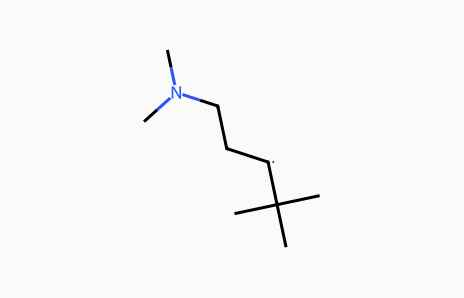 CN(C)CC[CH]C(C)(C)C